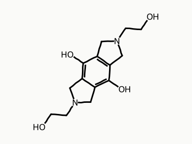 OCCN1Cc2c(O)c3c(c(O)c2C1)CN(CCO)C3